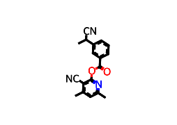 Cc1cc(C)c(C#N)c(OC(=O)c2cccc(C(C)C#N)c2)n1